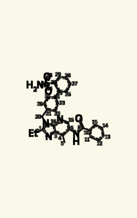 CCc1nc2c(C)c(NC(=O)c3ccccc3)cnc2n1Cc1ccc(-c2ccccc2S(N)(=O)=O)cc1